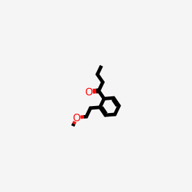 CCCC(=O)C1C=CCC=C1CCOC